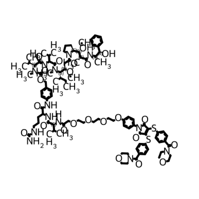 CCC(C)[C@@H]([C@@H](CC(=O)N1CCC[C@H]1[C@H](OC)[C@@H](C)C(=O)N[C@H](C)[C@@H](O)c1ccccc1)OC)N(C)C(=O)C(NC(=O)[C@H](C(C)C)N(C)C(=O)OCc1ccc(NC(=O)C(CCCNC(N)=O)NC(=O)[C@@H](NC(=O)COCCOCCOCCOc2ccc(N3C(=O)C(Sc4ccc(C(=O)N5CCOCC5)cc4)=C(Sc4ccc(C(=O)N5CCOCC5)cc4)C3=O)cc2)C(C)C)cc1)C(C)C